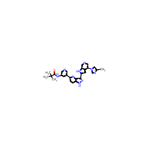 Cc1cn(-c2cncc3[nH]c(-c4n[nH]c5ccc(-c6cncc(NC(=O)C(C)(C)C)c6)nc45)cc23)cn1